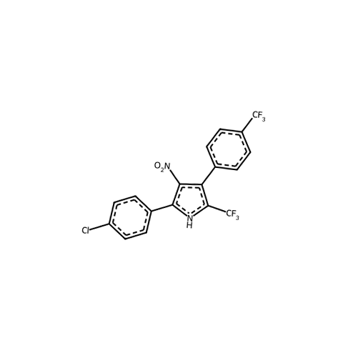 O=[N+]([O-])c1c(-c2ccc(Cl)cc2)[nH]c(C(F)(F)F)c1-c1ccc(C(F)(F)F)cc1